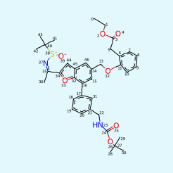 CCOC(=O)Cc1ccccc1OCc1cc(-c2cccc(CNC(=O)OC(C)(C)C)c2)c2oc(/C(C)=N\[S@@+]([O-])C(C)(C)C)cc2c1